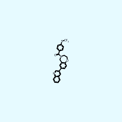 O=C(c1ccc(SC(F)(F)F)cc1)N1CCOc2ccc(-c3cnc4ccccc4c3)cc2C1